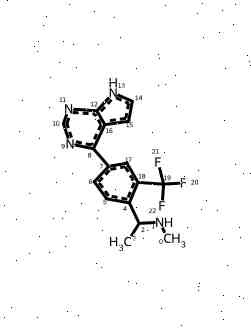 CNC(C)c1ccc(-c2ncnc3[nH]ccc23)cc1C(F)(F)F